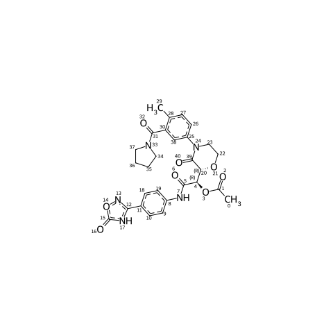 CC(=O)O[C@@H](C(=O)Nc1ccc(-c2noc(=O)[nH]2)cc1)[C@H]1OCCN(c2ccc(C)c(C(=O)N3CCCC3)c2)C1=O